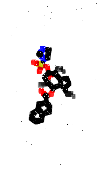 CC1CCC2C1C(OC(=O)c1ccc3ccccc3c1)C1(C(C)C)CC(OS(=O)(=O)n3ccnc3)C2(C)O1